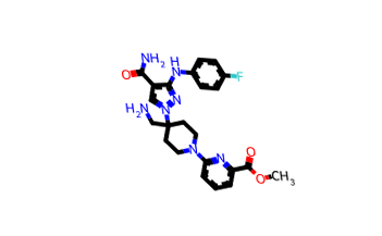 COC(=O)c1cccc(N2CCC(CN)(n3cc(C(N)=O)c(Nc4ccc(F)cc4)n3)CC2)n1